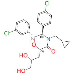 O=C1[C@H](CC(O)CO)O[C@H](c2cccc(Cl)c2)[C@@H](c2ccc(Cl)cc2)N1CC1CC1